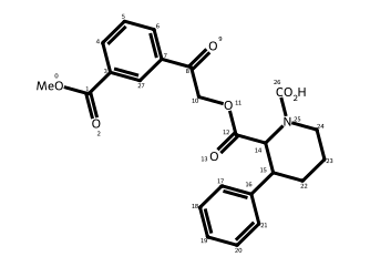 COC(=O)c1cccc(C(=O)COC(=O)C2C(c3ccccc3)CCCN2C(=O)O)c1